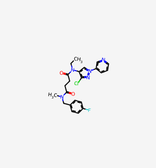 CCN(C(=O)CCC(=O)N(C)Cc1ccc(F)cc1)c1cn(-c2cccnc2)nc1Cl